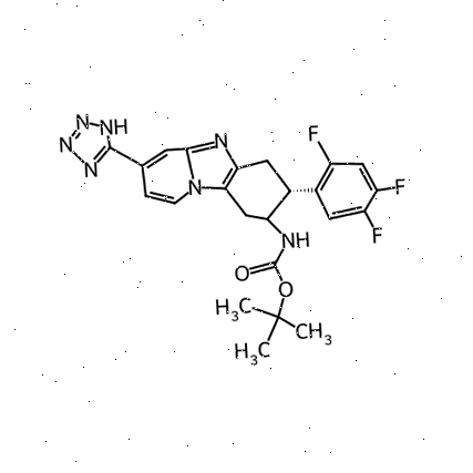 CC(C)(C)OC(=O)NC1Cc2c(nc3cc(-c4nnn[nH]4)ccn23)C[C@@H]1c1cc(F)c(F)cc1F